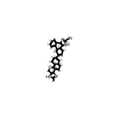 Cc1nc2c([nH]1)COc1c-2ccc2cc(-c3ccc4c(c3)c3ccccc3c3nc(C(C)C)[nH]c43)ccc12